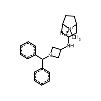 C[N+]1(C)C2CCC1CC(NC1CN(C(c3ccccc3)c3ccccc3)C1)C2